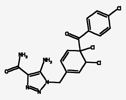 NC(=O)c1nnn(CC2=CC(Cl)C(Cl)(C(=O)c3ccc(Cl)cc3)C=C2)c1N